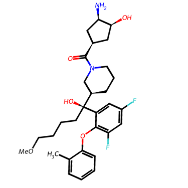 COCCCC[C@@](O)(c1cc(F)cc(F)c1Oc1ccccc1C)[C@@H]1CCCN(C(=O)[C@H]2C[C@@H](N)[C@@H](O)C2)C1